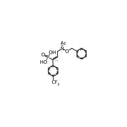 CC(=O)N(C/C=C(/c1ccc(C(F)(F)F)cc1)P(=O)(O)O)OCc1ccccc1